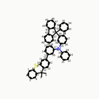 CC1(C)c2ccccc2Sc2cc(-c3cccc(N(c4ccccc4)c4cccc(C5(c6ccccc6)c6ccccc6-c6ccccc65)c4)c3)ccc21